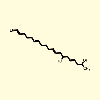 CC/C=C/CCC/C=C/CCC/C=C/CC(O)C/C=C/CC(C)O